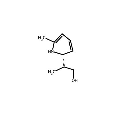 CC1=CC=C[C@H](C(C)CO)N1